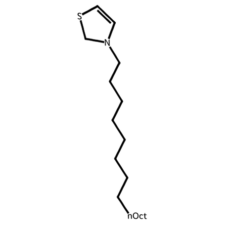 CCCCCCCCCCCCCCCCN1C=CSC1